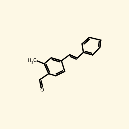 Cc1cc(/C=C/c2ccccc2)ccc1C=O